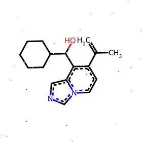 C=C(C)c1ccn2cncc2c1C(O)C1CCCCC1